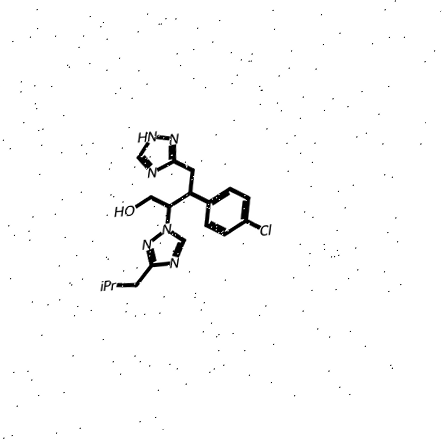 CC(C)Cc1ncn(C(CO)C(Cc2nc[nH]n2)c2ccc(Cl)cc2)n1